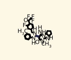 CC1C(F)=C(C(=O)C(F)(F)F)C=CC1CN/C(Nc1ccccc1)=c1/c(=O)n(C)c2n(c1=N)[C@H]1CCC[C@H]1N=2